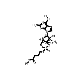 CCOc1nc(N)nc2c1ncn2[C@@H]1O[C@@H]2COP(=O)(OCCCC(=O)OC(C)C)O[C@H]2[C@@]1(C)O